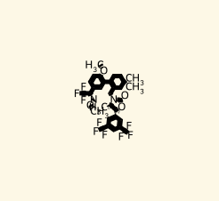 CON=C(c1ccc(OC)c(C2=C(CN3C(=O)O[C@H](c4cc(C(F)(F)F)cc(C(F)(F)F)c4)[C@@H]3C)CC(C)(C)CC2)c1)C(F)(F)F